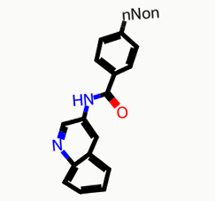 CCCCCCCCCc1ccc(C(=O)Nc2cnc3ccccc3c2)cc1